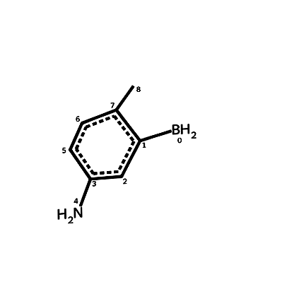 Bc1cc(N)ccc1C